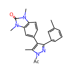 CC(=O)n1nc(-c2cccc(C)c2)c(-c2ccc3c(c2)n(C)c(=O)n3C)c1C